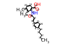 CCCCCc1ccc(C=CC(=O)Nc2c(C(=O)O)ccc(C)c2C)cc1